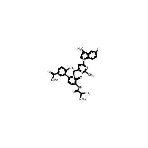 CNC(=O)c1ccc(C)c(-c2ccc(NC(=O)C(C)NC)c(=O)n2Cc2cc(-n3cc(C)c4cc(F)ccc43)nc(C)n2)c1